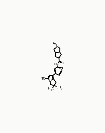 CC(=O)N1CC2CC(C(=O)Nc3cc(-c4cc(C#N)n5c4CC(C)(C)C5)ccn3)CC2C1